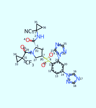 N#CC1(NC(=O)[C@@H]2C[C@@H](S(=O)(=O)c3ccc(-n4cncn4)cc3-n3cncn3)CN2C(=O)C2(C(F)(F)F)CC2)CC1